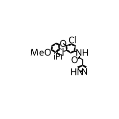 COc1ccc(Oc2c(Cl)cc(NC(=O)Cc3cn[nH]c3)cc2Cl)cc1C(C)C